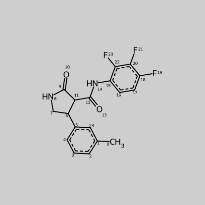 Cc1cccc(C2CNC(=O)C2C(=O)Nc2ccc(F)c(F)c2F)c1